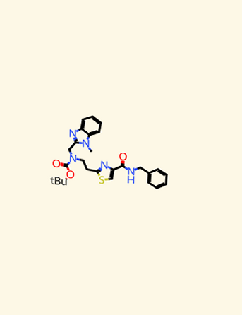 Cn1c(CN(CCc2nc(C(=O)NCc3ccccc3)cs2)C(=O)OC(C)(C)C)nc2ccccc21